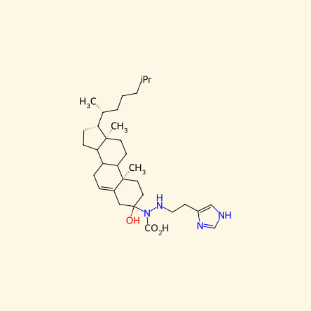 CC(C)CCC[C@@H](C)[C@H]1CCC2C3CC=C4CC(O)(N(NCCc5c[nH]cn5)C(=O)O)CC[C@]4(C)C3CC[C@@]21C